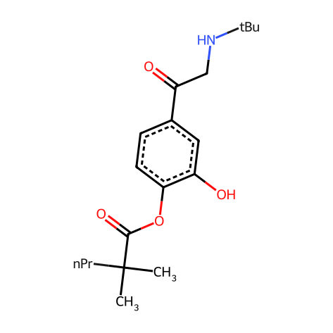 CCCC(C)(C)C(=O)Oc1ccc(C(=O)CNC(C)(C)C)cc1O